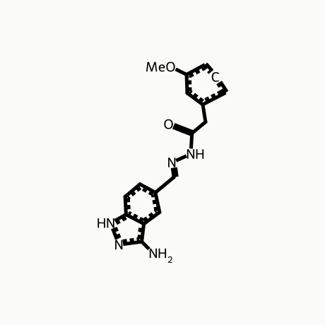 COc1cccc(CC(=O)N/N=C/c2ccc3[nH]nc(N)c3c2)c1